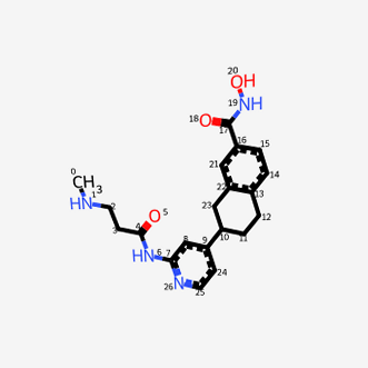 CNCCC(=O)Nc1cc(C2CCc3ccc(C(=O)NO)cc3C2)ccn1